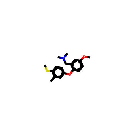 COc1ccc(Oc2ccc(SC)c(C)c2)c(CN(C)C)c1